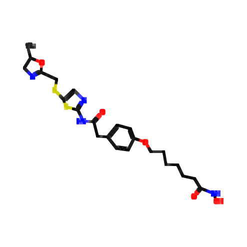 CC(C)(C)C1CN=C(CSc2cnc(NC(=O)Cc3ccc(OCCCCCCC(=O)NO)cc3)s2)O1